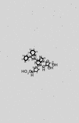 O=C(O)N[C@H]1CCN(c2nc(NCC(c3ccccc3)c3ccccc3)c3ncn([C@@H]4O[C@H](CO)[C@@H](O)[C@H]4O)c3n2)C1